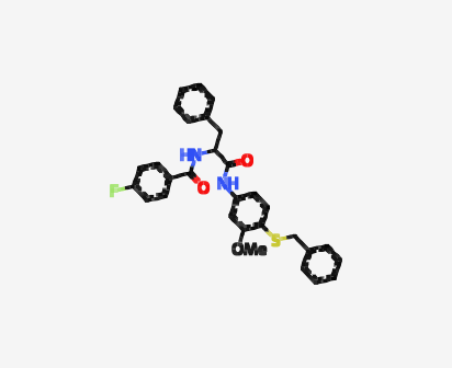 COc1cc(NC(=O)C(Cc2ccccc2)NC(=O)c2ccc(F)cc2)ccc1SCc1ccccc1